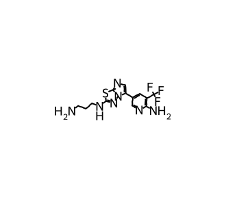 NCCCNc1nn2c(-c3cnc(N)c(C(F)(F)F)c3)cnc2s1